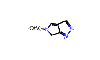 O=[C]N1C=C2C=NN=C2C1